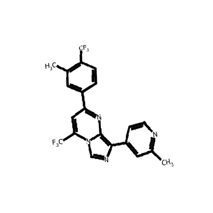 Cc1cc(-c2ncn3c(C(F)(F)F)cc(-c4ccc(C(F)(F)F)c(C)c4)nc23)ccn1